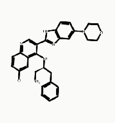 NC[C@H](Cc1ccccc1)Nc1c(-c2nc3cc(N4CCOCC4)ccc3[nH]2)cnc2ccc(Cl)cc12